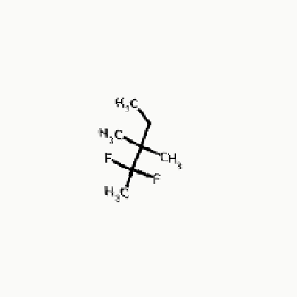 CCC(C)(C)C(C)(F)F